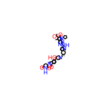 CC(=O)c1c(C)c2cnc(Nc3ccc4c(n3)CC[C@@H](CN3CCC(O)(c5ccc6c(c5)CN(C5CCC(=O)NC5=O)C6=O)CC3)C4)nc2n(C2CCCC2)c1=O